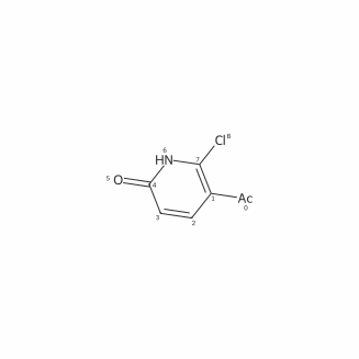 CC(=O)c1ccc(=O)[nH]c1Cl